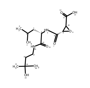 CC(C)C[C@H](NC(=O)[C@H]1OC1C(=O)O)C(=O)NCCC(C)(C)O